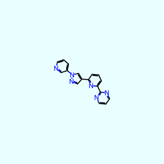 c1cnc(-c2cccc(-c3cnn(-c4cccnc4)c3)n2)nc1